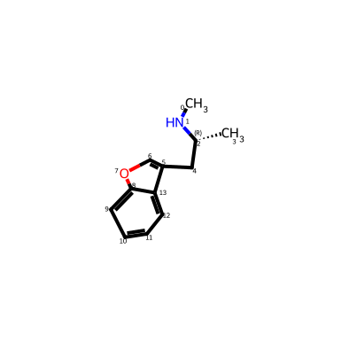 CN[C@H](C)Cc1coc2ccccc12